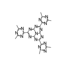 Cc1nc(C)nc(C2=NC3=NC(c4nc(C)nc(C)n4)=NC4=NC(c5nc(C)nc(C)n5)=NC(=N2)N34)n1